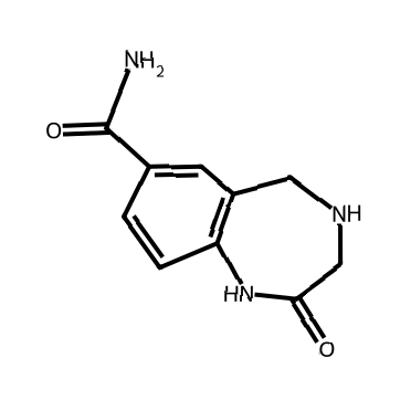 NC(=O)c1ccc2c(c1)CNCC(=O)N2